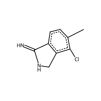 Cc1ccc2c(c1Cl)CNC2=N